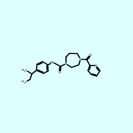 CCC(C)c1ccc(NC(=O)N2CCCN(C(=O)c3ccccn3)CC2)cc1